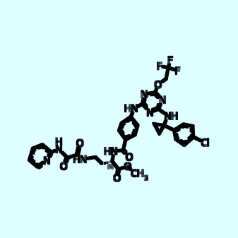 COC(=O)[C@H](CCNC(=O)C(=O)Nc1ccccn1)NC(=O)c1ccc(Nc2nc(NC3(c4ccc(Cl)cc4)CC3)nc(OCC(F)(F)F)n2)cc1